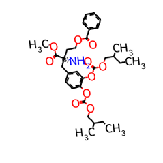 CCC(C)COC(=O)Oc1ccc(C[C@](N)(CCOC(=O)c2ccccc2)C(=O)OC)cc1OC(=O)OCC(C)CC